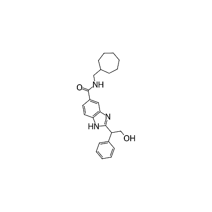 O=C(NCC1CCCCCC1)c1ccc2[nH]c(C(CO)c3ccccc3)nc2c1